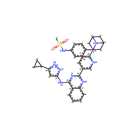 CS(=O)(=O)Nc1ccc(CN2C3CC2CN(c2ccc(-c4nc(Nc5cc(C6CC6)[nH]n5)c5ccccc5n4)cn2)C3)cc1